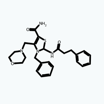 NC(=O)C1=C(CN2CCOCC2)N(Cc2ccccc2)C(NC(=O)CCc2ccccc2)S1